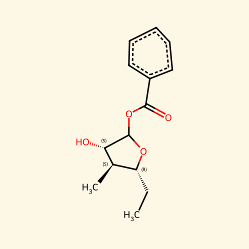 CC[C@H]1OC(OC(=O)c2ccccc2)[C@@H](O)[C@@H]1C